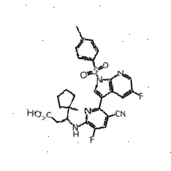 Cc1ccc(S(=O)(=O)n2cc(-c3nc(NC(CC(=O)O)C4(C)CCCC4)c(F)cc3C#N)c3cc(F)cnc32)cc1